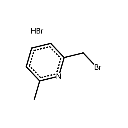 Br.Cc1cccc(CBr)n1